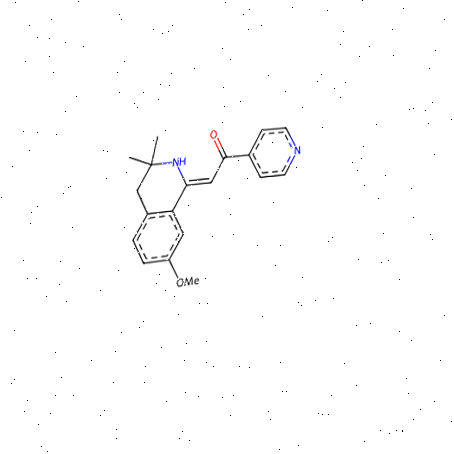 COc1ccc2c(c1)C(=CC(=O)c1ccncc1)NC(C)(C)C2